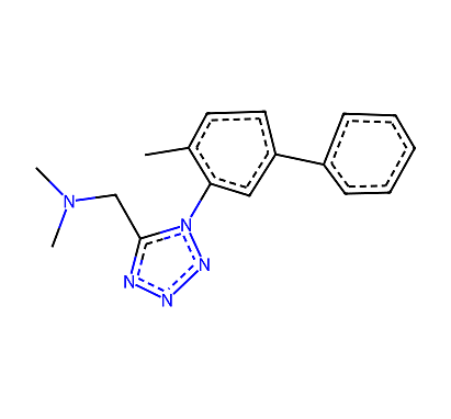 Cc1ccc(-c2ccccc2)cc1-n1nnnc1CN(C)C